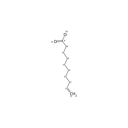 C=CCCCCCCCC([O])=O